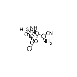 CN1C(=N)N[C@@]2(c3ccc(-c4cc(N)cc(C#N)c4)s3)CN(C(=O)OCc3ccccc3)C[C@H]2C1=O